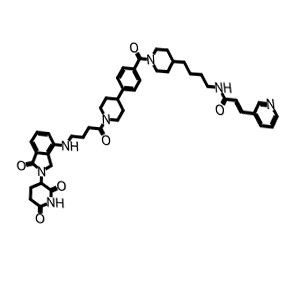 O=C(/C=C/c1cccnc1)NCCCCC1CCN(C(=O)c2ccc(C3CCN(C(=O)CCCNc4cccc5c4CN(C4CCC(=O)NC4=O)C5=O)CC3)cc2)CC1